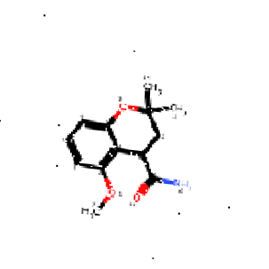 COc1cccc2c1C(C(N)=O)CC(C)(C)O2